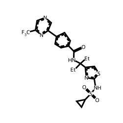 CCC(CC)(NC(=O)c1ccc(-c2cncc(C(F)(F)F)n2)cc1)c1csc(NS(=O)(=O)C2CC2)n1